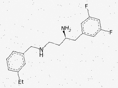 CCc1cccc(CNCC[C@@H](N)Cc2cc(F)cc(F)c2)c1